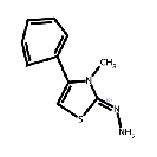 Cn1c(-c2ccccc2)cs/c1=N\N